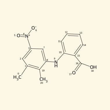 Cc1cc([N+](=O)[O-])cc(Nc2ccccc2C(=O)O)c1C